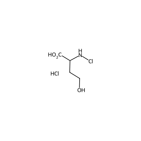 Cl.O=C(O)C(CCO)NCl